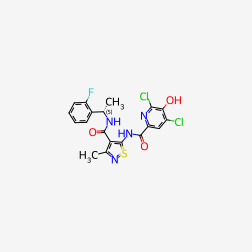 Cc1nsc(NC(=O)c2cc(Cl)c(O)c(Cl)n2)c1C(=O)N[C@@H](C)c1ccccc1F